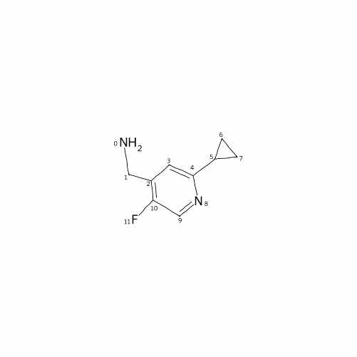 NCc1cc(C2CC2)ncc1F